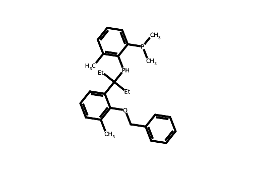 CCC(CC)(Pc1c(C)cccc1P(C)C)c1cccc(C)c1OCc1ccccc1